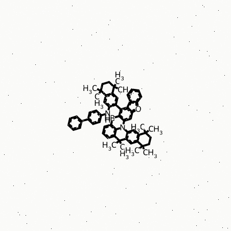 CC1(C)CCC(C)(C)c2cc(-c3c4c(cc5oc6ccccc6c35)N3c5cc6c(cc5C(C)(C)c5cccc(c53)B4)C(C)(C)CCC6(C)C)c(Nc3ccc(-c4ccccc4)cc3)cc21